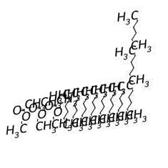 CCCCCC.CCCCCC.CCCCCC.CCCCCC.CCCCCC.CCCCCC.CCCCCC.CCCCCC.CCCCCC.CCCCCC.CCOC(C)=O.CCOC(C)=O.CCOC(C)=O